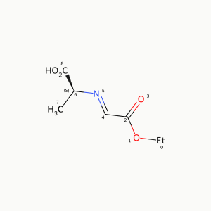 CCOC(=O)C=N[C@@H](C)C(=O)O